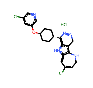 Cl.ClC1=CCNc2c3c([nH]c2=C1)=C([C@H]1CC[C@H](Oc2cncc(Cl)c2)CC1)N=NC3